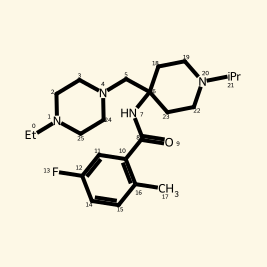 CCN1CCN(CC2(NC(=O)c3cc(F)ccc3C)CCN(C(C)C)CC2)CC1